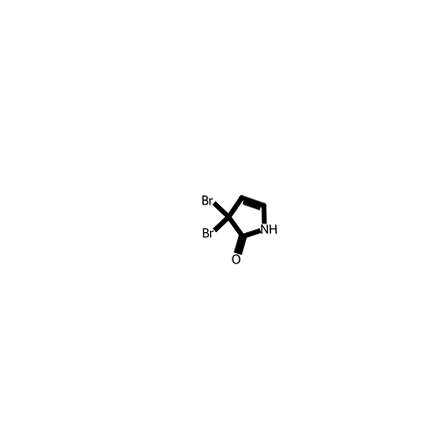 O=C1NC=CC1(Br)Br